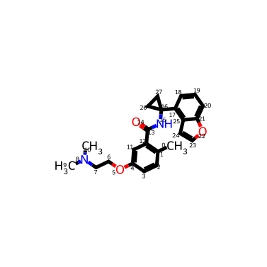 Cc1ccc(OCCN(C)C)cc1C(=O)NC1(c2cccc3occc23)CC1